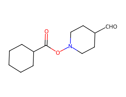 O=CC1CCN(OC(=O)C2CCCCC2)CC1